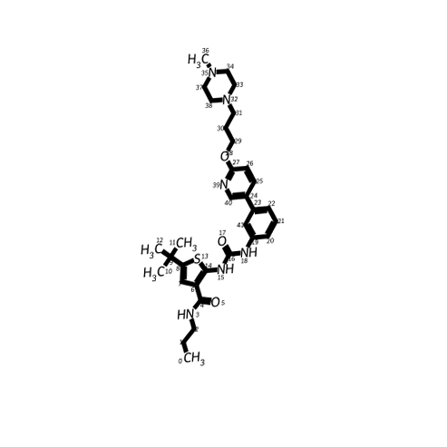 CCCNC(=O)c1cc(C(C)(C)C)sc1NC(=O)Nc1cccc(-c2ccc(OCCCN3CCN(C)CC3)nc2)c1